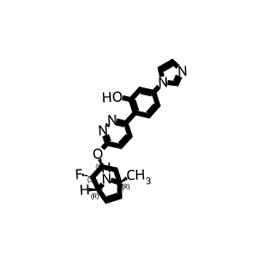 C[C@@]12C=C[C@@H](N1)[C@H](F)[C@@H](Oc1ccc(-c3ccc(-n4ccnc4)cc3O)nn1)C2